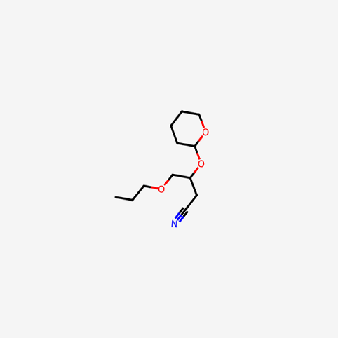 CCCOCC(CC#N)OC1CCCCO1